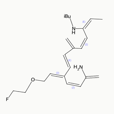 C=C(N)\C=C/C(=C\COCCF)/C=C/C(=C)/C=C\C(=C/C)NC(C)CC